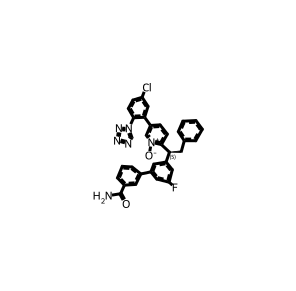 NC(=O)c1cccc(-c2cc(F)cc([C@H](Cc3ccccc3)c3ccc(-c4cc(Cl)ccc4-n4cnnn4)c[n+]3[O-])c2)c1